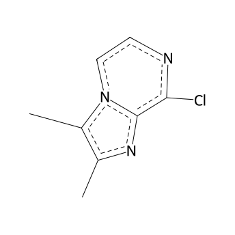 Cc1nc2c(Cl)nccn2c1C